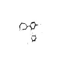 COc1ccc(C(=O)O)cc1S(=O)(=O)Nc1cc(C(F)(F)F)ccc1C1CCCNC1